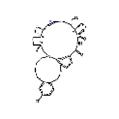 C[C@@H]1[C@@H](C)C/C=C\[C@H](O)[C@@H]2CC[C@H]2CN2CCCCc3cc(Cl)ccc3COc3ccc(cc32)C(=O)NS1(=O)=O